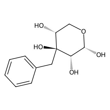 O[C@@H]1CO[C@H](O)[C@H](O)[C@]1(O)Cc1ccccc1